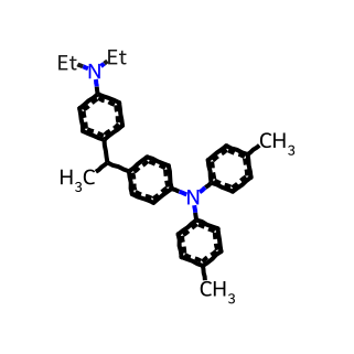 CCN(CC)c1ccc(C(C)c2ccc(N(c3ccc(C)cc3)c3ccc(C)cc3)cc2)cc1